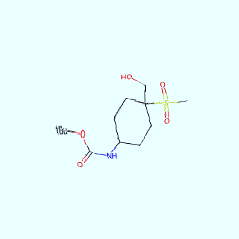 CC(C)(C)OC(=O)NC1CCC(CO)(S(C)(=O)=O)CC1